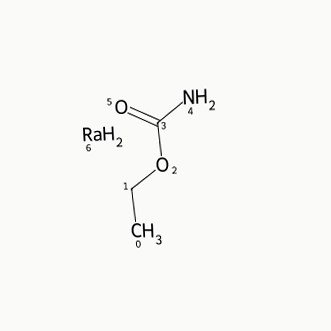 CCOC(N)=O.[RaH2]